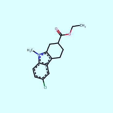 CCOC(=O)C1CCc2c(n(C)c3ccc(Cl)cc23)C1